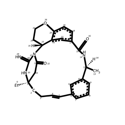 CC[C@]12CC/C=C/c3cccc(c3)[C@H](C)NC(=O)c3ccc4c(c3)[C@@H](CCO4)N(C(=N)N1)C(=O)C2